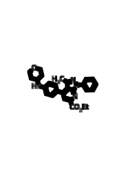 CCOC(=O)c1cc(-c2ccc(NC3CCOCC3)cc2)c2c(C)nn(-c3ccccc3)c2n1